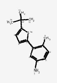 Cc1ccc(N)cc1-c1ccc(C(C)(C)C)s1